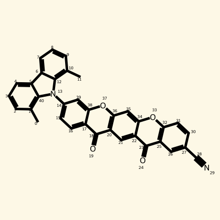 Cc1cccc2c3cccc(C)c3n(-c3ccc4c(=O)c5cc6c(=O)c7cc(C#N)ccc7oc6cc5oc4c3)c12